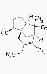 CCC1=C(C)[C@H]2C[C@]3(C1)[C@@H](C)CC[C@H]3C2(C)C